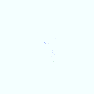 CCOc1cc(-c2cnc(NC(=O)Nc3ccc(OC4(C)COC4)c(C(F)(F)F)c3)cc2C)cnc1OCc1ccc(OC)cc1